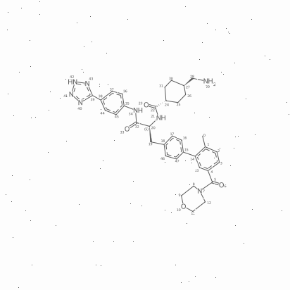 Cc1ccc(C(=O)N2CCOCC2)cc1-c1ccc(C[C@H](NC(=O)[C@H]2CC[C@H](CN)CC2)C(=O)Nc2ccc(-c3nn[nH]n3)cc2)cc1